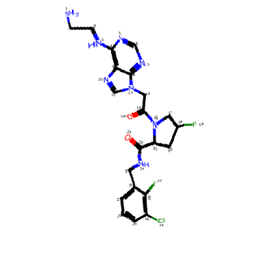 NCCNc1ncnc2c1ncn2CC(=O)N1CC(F)CC1C(=O)NCc1cccc(Cl)c1F